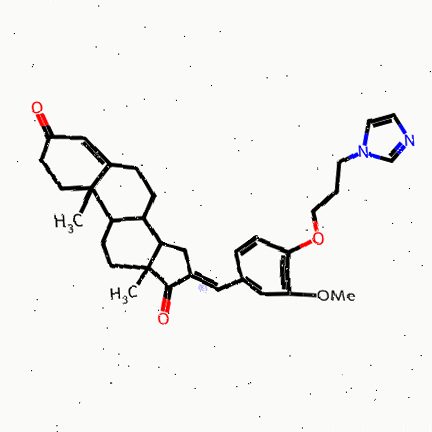 COc1cc(/C=C2\CC3C4CCC5=CC(=O)CCC5(C)C4CCC3(C)C2=O)ccc1OCCCn1ccnc1